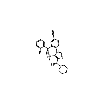 C#Cc1ccc2c(c1)C(c1ccccc1F)=N[C@H](C)c1c(C(=O)N3CCCCC3)ncn1-2